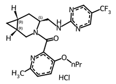 CCCOc1ccc(C)nc1C(=O)N1C[C@@H]2C[C@@H]2C[C@H]1CNc1ncc(C(F)(F)F)cn1.Cl